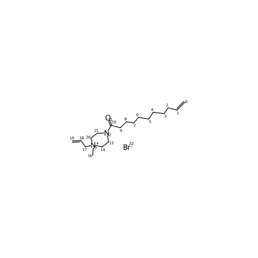 C=CCCCCCCCCC(=O)N1CC[N+](C)(CC=C)CC1.[Br-]